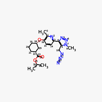 Cc1nc(-c2nnn(C)c2CN=[N+]=[N-])ccc1O[C@H]1CCC[C@H](C(=O)OC(C)C)C1